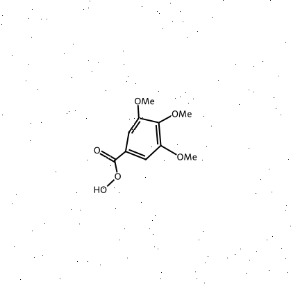 COc1cc(C(=O)OO)cc(OC)c1OC